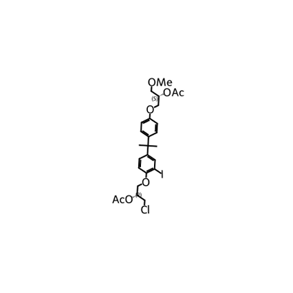 COC[C@@H](COc1ccc(C(C)(C)c2ccc(OC[C@H](CCl)OC(C)=O)c(I)c2)cc1)OC(C)=O